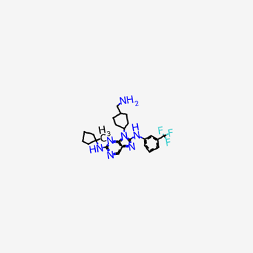 CC1(Nc2ncc3nc(Nc4cccc(C(F)(F)F)c4)n(C4CCC(CN)CC4)c3n2)CCCC1